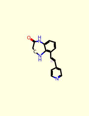 O=C1CCNc2c(/C=C/c3ccncc3)cccc2N1